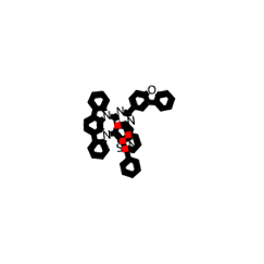 c1ccc(-c2nc(-c3ccc4oc5ccccc5c4c3)nc(-n3c4ccccc4c4ccc5c6ccccc6n(-c6cccc7nc(-c8ccccc8)sc67)c5c43)n2)cc1